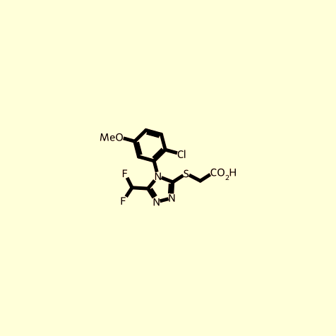 COc1ccc(Cl)c(-n2c(SCC(=O)O)nnc2C(F)F)c1